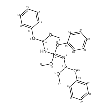 COP(N=P(NP(OC)Oc1ccccc1)(OC)Oc1ccccc1)Oc1ccccc1